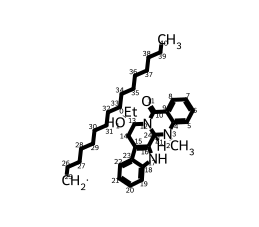 CCO.CN1c2ccccc2C(=O)N2CCc3c([nH]c4ccccc34)[C@H]21.[CH2]CCCCCCCCCCCCCCC